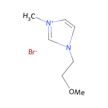 COCCn1cc[n+](C)c1.[Br-]